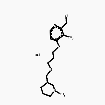 Cc1c(SCCCSCC2CCCN(C)C2)ccnc1CCl.Cl